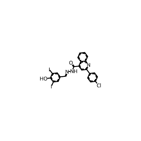 O=C(NN=Cc1cc(I)c(O)c(I)c1)c1cc(-c2ccc(Cl)cc2)nc2ccccc12